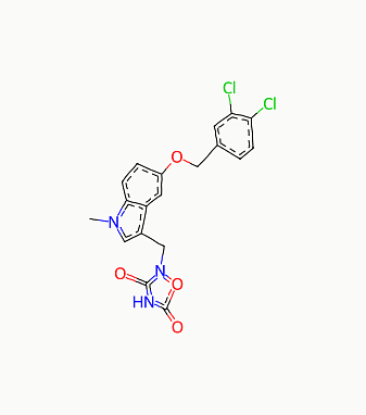 Cn1cc(Cn2oc(=O)[nH]c2=O)c2cc(OCc3ccc(Cl)c(Cl)c3)ccc21